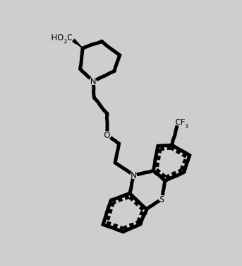 O=C(O)[C@H]1CCCN(CCOCCN2c3ccccc3Sc3ccc(C(F)(F)F)cc32)C1